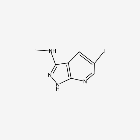 CNc1n[nH]c2ncc(I)cc12